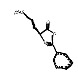 CSCCC1N=C(c2ccccc2)OC1=O